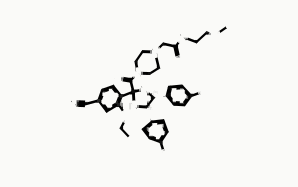 CCOc1cc(C#N)ccc1C1(C(=O)N2CCN(CC(=O)NCCOC)CC2)N[C@H](c2ccc(Cl)cc2)[C@H](c2ccc(Cl)cc2)N1